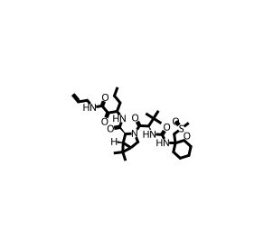 C=CCNC(=O)C(=O)C(CCC)NC(=O)[C@@H]1[C@@H]2C(CN1C(=O)[C@@H](NC(=O)NC1(CS(C)(=O)=O)CCCCC1)C(C)(C)C)C2(C)C